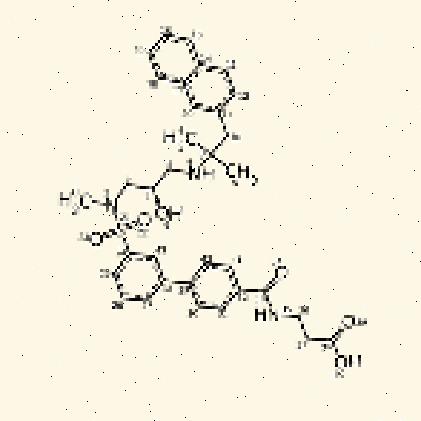 CN(C[C@H](O)CNC(C)(C)Cc1ccc2ccccc2c1)S(=O)(=O)c1cccc(-c2ccc(C(=O)NCCC(=O)O)cc2)c1